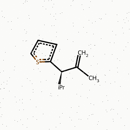 C=C(C)[C@H](c1cccs1)C(C)C